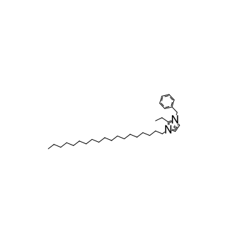 CCCCCCCCCCCCCCCCCCC[n+]1ccn(Cc2ccccc2)c1CC